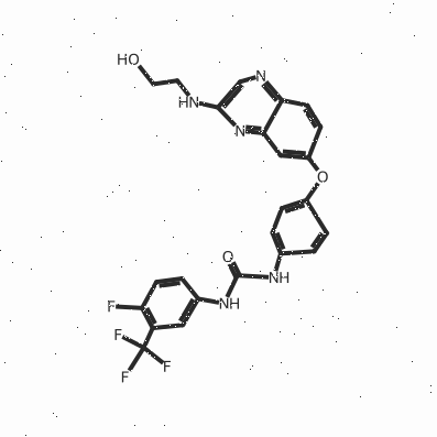 O=C(Nc1ccc(Oc2ccc3ncc(NCCO)nc3c2)cc1)Nc1ccc(F)c(C(F)(F)F)c1